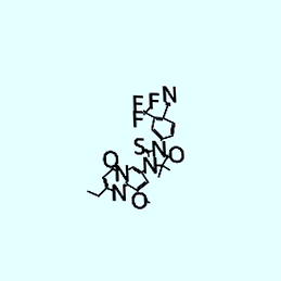 CCc1cc(=O)n2cc(N3C(=S)N(c4ccc(C#N)c(C(F)(F)F)c4)C(=O)C3(C)C)cc(OC)c2n1